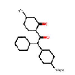 CCCCCCCC1CCC(C(C(=O)C2CCC(CCC)CC2=O)C2CCCCC2)CC1